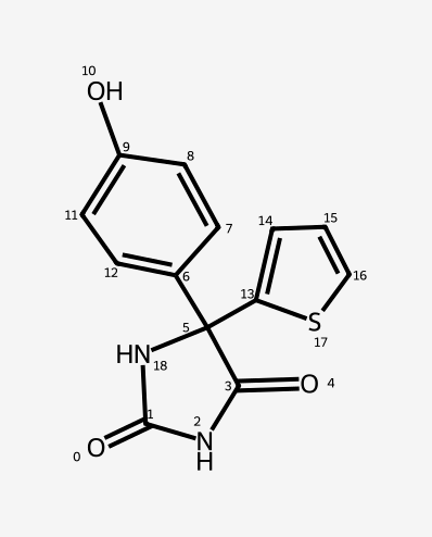 O=C1NC(=O)C(c2ccc(O)cc2)(c2cccs2)N1